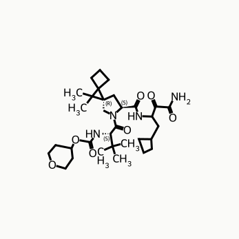 CC(C)(C)[C@H](NC(=O)OC1CCOCC1)C(=O)N1C[C@]2(C[C@H]1C(=O)NC(CC1CCC1)C(=O)C(N)=O)C(C)(C)C21CCC1